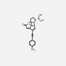 COC(OC)[C@H]1CC[C@H]2N1C1C=C(C#Cc3ccc(N)cc3)C3=CC(=O)O[C@]312